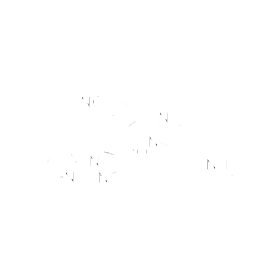 N#Cc1ccc(-c2ncc(CCN)cn2)c(C(=O)c2cnn(-c3ccccn3)c2)c1